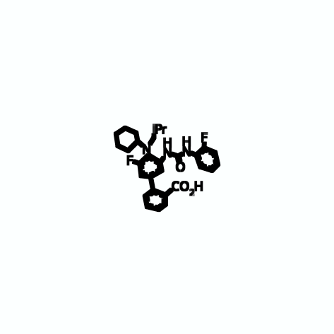 CC(C)CN(c1c(F)cc(-c2ccccc2C(=O)O)cc1NC(=O)Nc1ccccc1F)C1CCCCC1